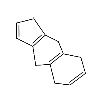 [CH]1C=CC2=C1CC1=C(CC=CC1)C2